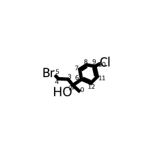 CC(O)(CCBr)c1ccc(Cl)cc1